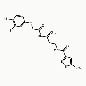 C=C(CCNC(=O)c1cc(C)sn1)NC(=O)COc1ccc(Cl)c(F)c1